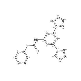 O=C(Cc1cccnc1)Nc1cc(-c2nccs2)nc(-c2ncco2)n1